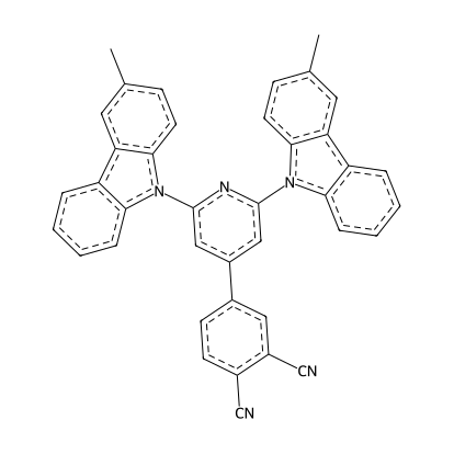 Cc1ccc2c(c1)c1ccccc1n2-c1cc(-c2ccc(C#N)c(C#N)c2)cc(-n2c3ccccc3c3cc(C)ccc32)n1